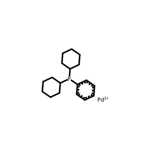 [Pd+2].c1ccc(P(C2CCCCC2)C2CCCCC2)cc1